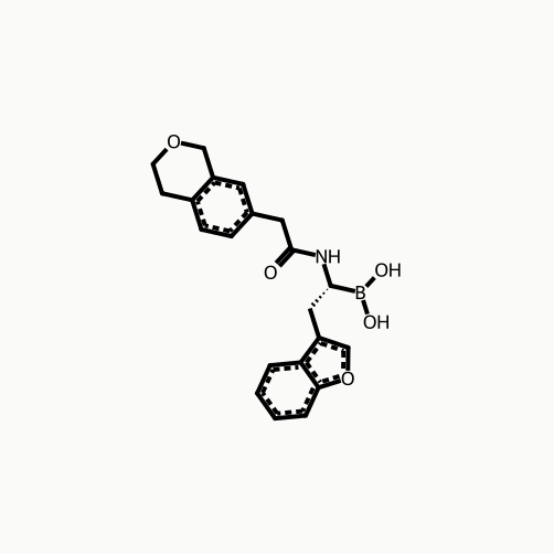 O=C(Cc1ccc2c(c1)COCC2)N[C@@H](Cc1coc2ccccc12)B(O)O